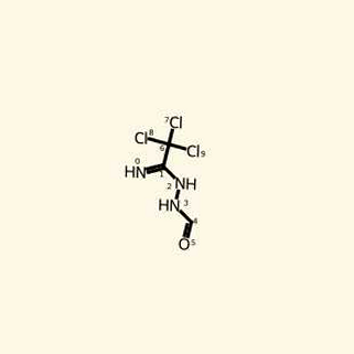 N=C(NNC=O)C(Cl)(Cl)Cl